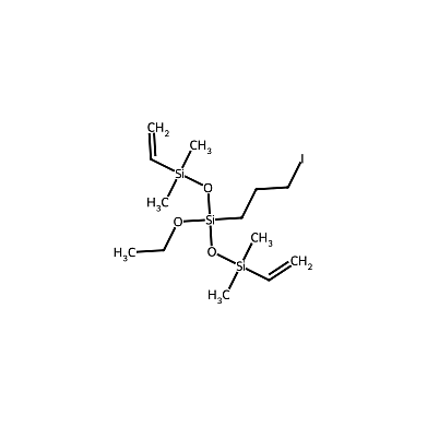 C=C[Si](C)(C)O[Si](CCCI)(OCC)O[Si](C)(C)C=C